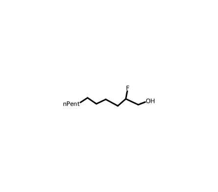 CCCCCCCCCC(F)CO